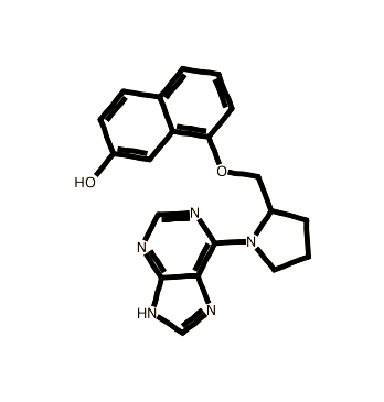 Oc1ccc2cccc(OCC3CCCN3c3ncnc4[nH]cnc34)c2c1